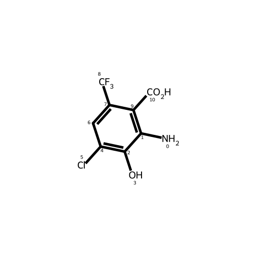 Nc1c(O)c(Cl)cc(C(F)(F)F)c1C(=O)O